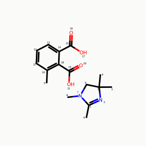 CC1=NC(C)(C)CN1C.Cc1cccc(C(=O)O)c1C(=O)O